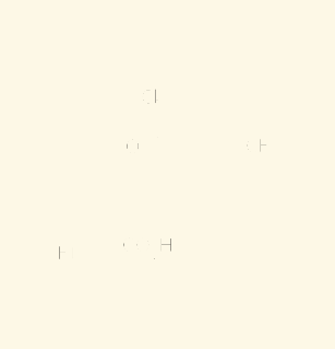 CCc1ccc(Oc2ccc(C(F)(F)F)cc2Cl)cc1C(=O)O